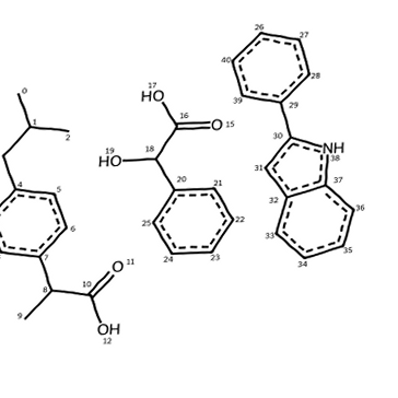 CC(C)Cc1ccc(C(C)C(=O)O)cc1.O=C(O)C(O)c1ccccc1.c1ccc(-c2cc3ccccc3[nH]2)cc1